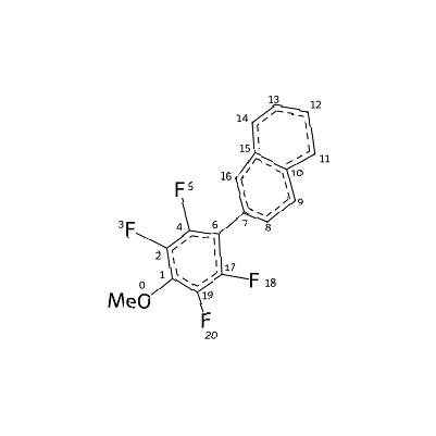 COc1c(F)c(F)c(-c2ccc3ccccc3c2)c(F)c1F